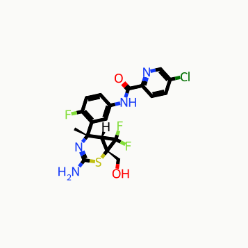 C[C@]1(c2cc(NC(=O)c3ccc(Cl)cn3)ccc2F)N=C(N)S[C@]2(CO)[C@H]1C2(F)F